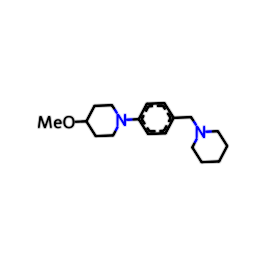 COC1CCN(c2ccc(CN3CCCCC3)cc2)CC1